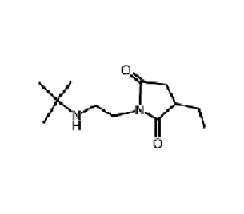 CCC1CC(=O)N(CCNC(C)(C)C)C1=O